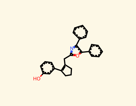 Oc1cccc(C2=C(Cc3nc(-c4ccccc4)c(-c4ccccc4)o3)CCC2)c1